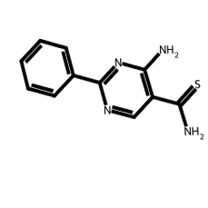 NC(=S)c1cnc(-c2ccccc2)nc1N